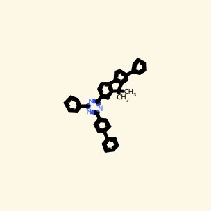 CC1(C)c2cc(-c3ccccc3)ccc2-c2ccc(-c3nc(-c4ccccc4)nc(-c4ccc(-c5ccccc5)cc4)n3)cc21